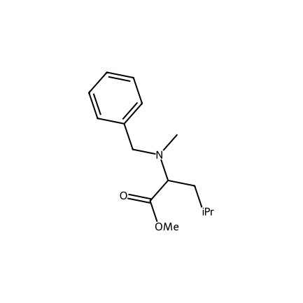 COC(=O)C(CC(C)C)N(C)Cc1ccccc1